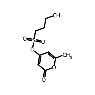 CCCCS(=O)(=O)Oc1cc(C)oc(=O)c1